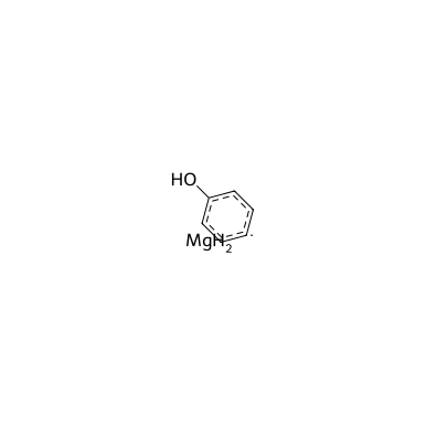 Oc1cc[c]cc1.[MgH2]